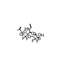 C=CNC(=O)C(OCC(F)(F)S(=O)(=O)O)(OC(=O)C(=C)C)C(F)(F)F